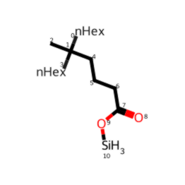 CCCCCCC(C)(CCCCCC)CCCC(=O)O[SiH3]